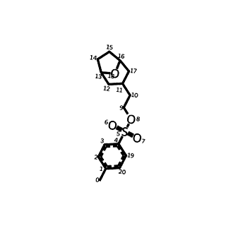 Cc1ccc(S(=O)(=O)OCCC2CC3CCC(C2)O3)cc1